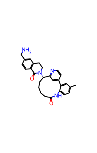 Cc1ccc2c(c1)-c1ccnc(c1)[C@@H](N1CCc3cc(CN)ccc3C1=O)CCCCC(=O)N2